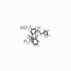 NS(=O)(=O)c1cc(C(=O)O)cc(NCc2ccco2)c1Oc1ccccc1